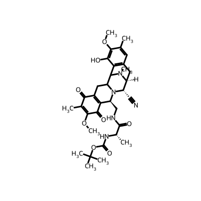 COC1=C(C)C(=O)C2=C(C1=O)[C@H](CNC(=O)[C@H](C)NC(=O)OC(C)(C)C)N1C(C2)C2c3c(cc(C)c(OC)c3O)C[C@@H]([C@@H]1C#N)N2C